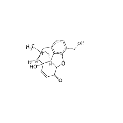 CN1CC[C@]23c4c5ccc(CO)c4OC2C(=O)C=CC3(O)[C@H]1C5